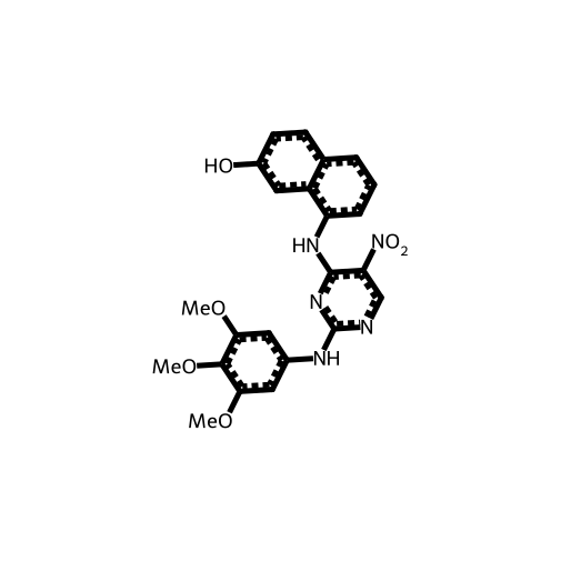 COc1cc(Nc2ncc([N+](=O)[O-])c(Nc3cccc4ccc(O)cc34)n2)cc(OC)c1OC